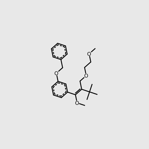 COCCOC/C(=C(/OC)c1cccc(OCc2ccccc2)c1)C(C)(C)C